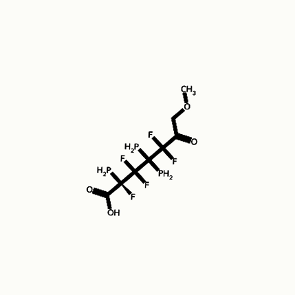 COCC(=O)C(F)(F)C(P)(P)C(F)(F)[C@@](F)(P)C(=O)O